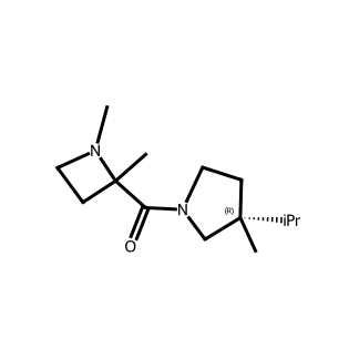 CC(C)[C@@]1(C)CCN(C(=O)C2(C)CCN2C)C1